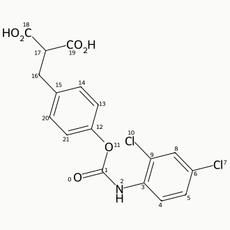 O=C(Nc1ccc(Cl)cc1Cl)Oc1ccc(CC(C(=O)O)C(=O)O)cc1